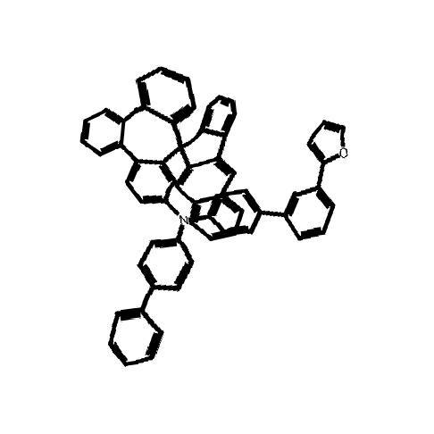 c1ccc(-c2ccc(N(c3ccc(-c4cccc(-c5ccco5)c4)cc3)c3ccc4c(c3)C3(c5ccccc5-c5ccccc5-4)c4ccccc4-c4cc5ccccc5cc43)cc2)cc1